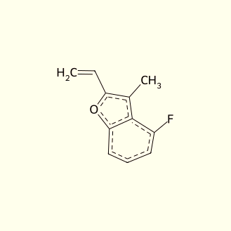 C=Cc1oc2cccc(F)c2c1C